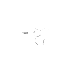 CC(C)n1nc(C#N)c2cnc(Cl)cc21